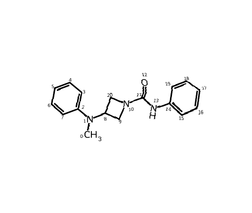 CN(c1ccccc1)C1CN(C(=O)Nc2ccccc2)C1